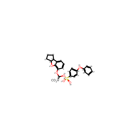 O=C(O)C(Oc1cccc2c1OC1CCCC21)OS(=O)(=O)c1ccc(Oc2ccccc2)cc1